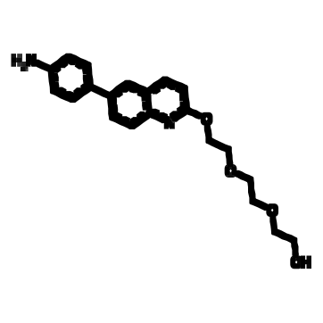 Nc1ccc(-c2ccc3nc(OCCOCCOCCO)ccc3c2)cc1